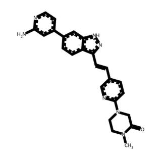 CN1CCN(c2ccc(C=Cc3n[nH]c4cc(-c5ccnc(N)c5)ccc34)cn2)CC1=O